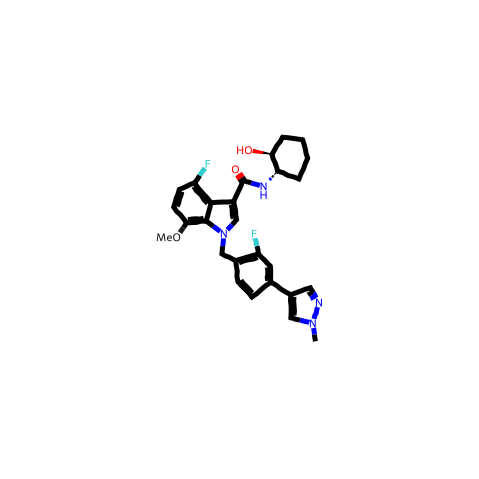 COc1ccc(F)c2c(C(=O)N[C@H]3CCCC[C@@H]3O)cn(Cc3ccc(-c4cnn(C)c4)cc3F)c12